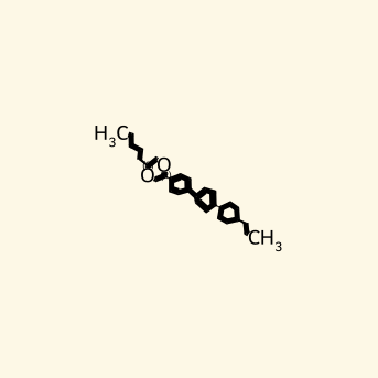 CCCCC[C@H]1CO[C@H](c2ccc(-c3ccc([C@H]4CC[C@H](CCC)CC4)cc3)cc2)CO1